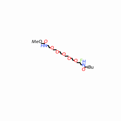 CCC(C)C(=O)NCC(F)COCCOCCOCCOCCOCCNC(=O)COC